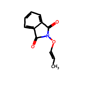 CC=CON1C(=O)c2ccccc2C1=O